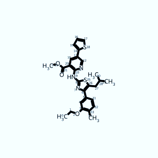 CCOc1cc(-c2nc(Nc3ncc(-c4cccs4)cc3C(=O)OC)sc2CC(C)C)ccc1C